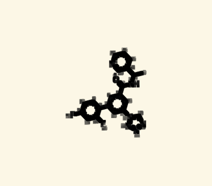 CC(NC(=O)c1cc(-c2ccc(F)cc2F)cc(-n2cnnn2)c1)c1cccnc1